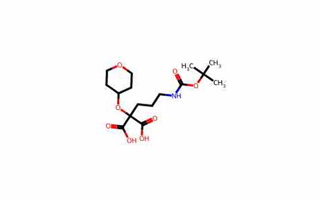 CC(C)(C)OC(=O)NCCCC(OC1CCOCC1)(C(=O)O)C(=O)O